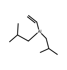 C=[CH][Al]([CH2]C(C)C)[CH2]C(C)C